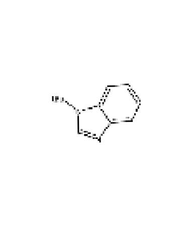 CC(C)(C)n1cnc2ccccc21